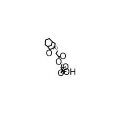 O=C(CC[C@H]1CC2CCCC(C2)C1=O)OCCS(=O)(=O)O